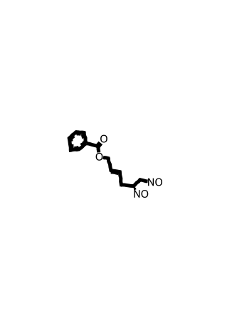 O=NC[C@H](C/C=C/COC(=O)c1ccccc1)N=O